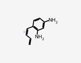 C=C/C=C\c1ccc(N)cc1N